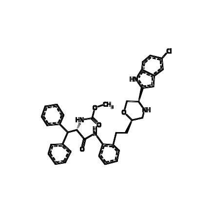 COC(=O)N[C@H](C(=O)Nc1ccccc1CC[C@@H]1CN[C@H](c2cc3cc(Cl)ccc3[nH]2)CO1)C(c1ccccc1)c1ccccc1